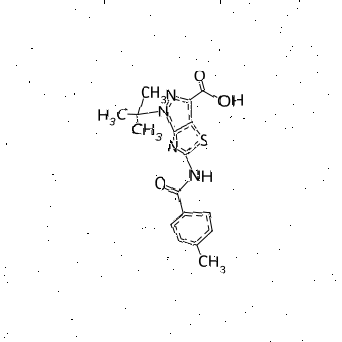 Cc1ccc(C(=O)Nc2nc3c(s2)c(C(=O)O)nn3C(C)(C)C)cc1